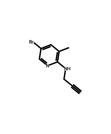 C#CCNc1ncc(Br)cc1C